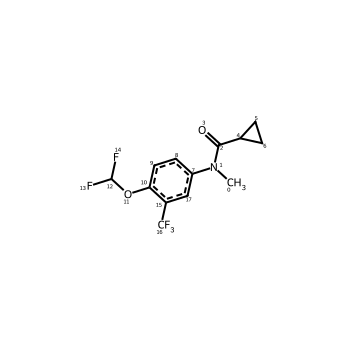 CN(C(=O)C1CC1)c1ccc(OC(F)F)c(C(F)(F)F)c1